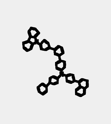 c1ccc(-c2ccc(N(c3ccc(-c4cccc(-c5ccc(-n6c7ccccc7c7ccccc76)cc5)c4)cc3)c3ccc(-c4cccc5ccccc45)cc3)cc2)cc1